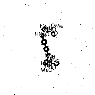 COC(=O)NC(C(=O)N1[C@@H]2C[C@@H]2C[C@H]1c1nc(-c2ccc(-c3ccc(-c4c[nH]c([C@@H]5C[C@H]6C[C@H]6N5C(=O)C(NC(=O)OC)[C@H]5CCCOC5)n4)cc3)cc2)c[nH]1)[C@@H]1CCCOC1